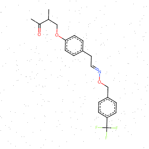 CC(=O)C(C)COc1ccc(CC=NOCc2ccc(C(F)(F)F)cc2)cc1